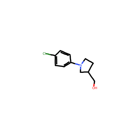 OCC1CCN(c2ccc(Cl)cc2)C1